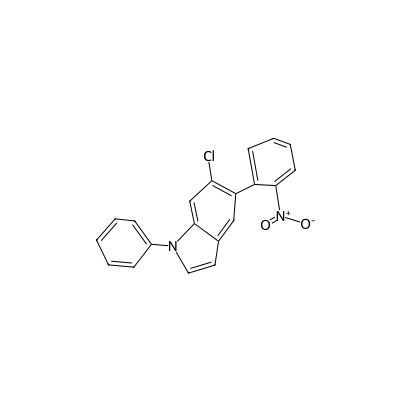 O=[N+]([O-])c1ccccc1-c1cc2ccn(-c3ccccc3)c2cc1Cl